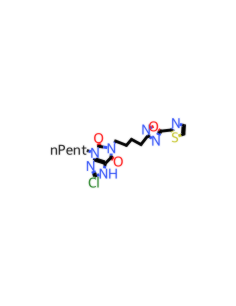 CCCCCn1c(=O)n(CCCCc2noc(-c3nccs3)n2)c(=O)c2[nH]c(Cl)nc21